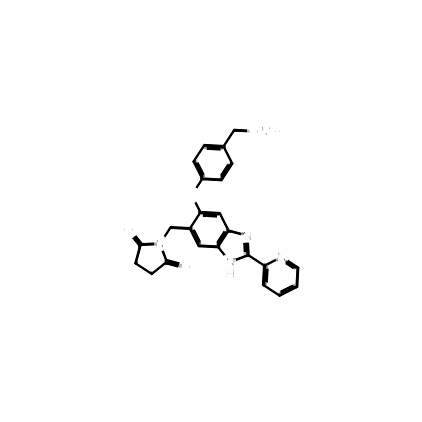 COCc1ccc(Oc2cc3nc(-c4ccccn4)[nH]c3cc2CN2C(=O)CCC2=O)cc1